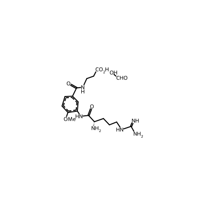 COc1ccc(C(=O)NCCC(=O)O)cc1NC(=O)[C@@H](N)CCCNC(=N)N.O=CO